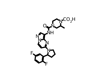 CC1CN(C(=O)Nc2cnn3ccc(N4CCCC4c4cc(F)ccc4F)nc23)CCN1C(=O)O